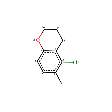 Cc1ccc2c(c1Cl)CCCO2